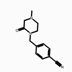 CN1CCN(Cc2ccc(C#N)cc2)C(=O)C1